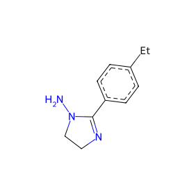 [CH2]Cc1ccc(C2=NCCN2N)cc1